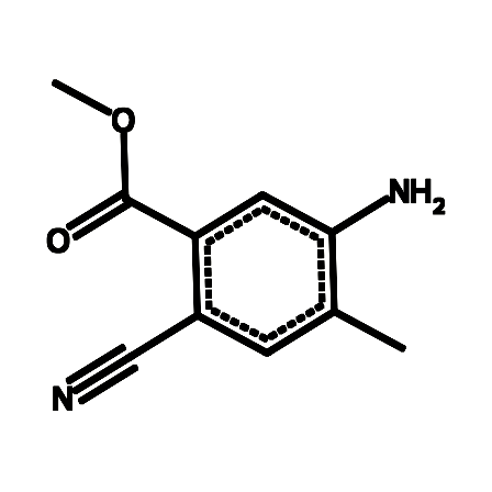 COC(=O)c1cc(N)c(C)cc1C#N